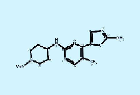 CSN1CCC(Nc2ncc(C(F)(F)F)c(-c3cnc(N)s3)n2)CC1